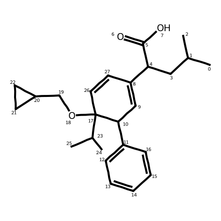 CC(C)CC(C(=O)O)C1=CC(c2ccccc2)C(OCC2CC2)(C(C)C)C=C1